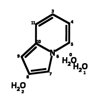 O.O.O.c1ccn2cccc2c1